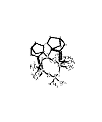 CC=C1CC2CCC1([Si]1(C34CCC(CC3=CC)C4)O[Si](C)(C)O[Si](C)(C)O[Si](C)(C)O1)C2